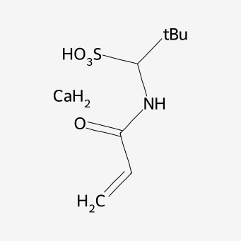 C=CC(=O)NC(C(C)(C)C)S(=O)(=O)O.[CaH2]